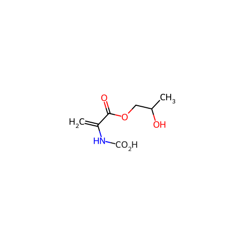 C=C(NC(=O)O)C(=O)OCC(C)O